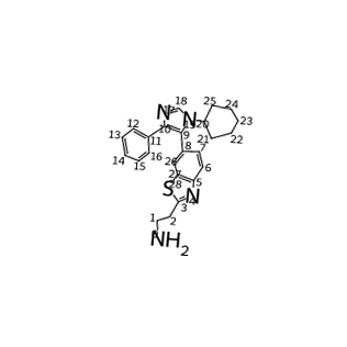 NCCc1nc2ccc(-c3c(-c4ccccc4)ncn3C3CCCCC3)cc2s1